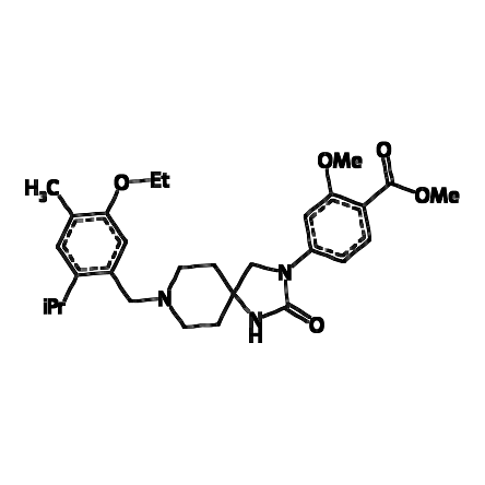 CCOc1cc(CN2CCC3(CC2)CN(c2ccc(C(=O)OC)c(OC)c2)C(=O)N3)c(C(C)C)cc1C